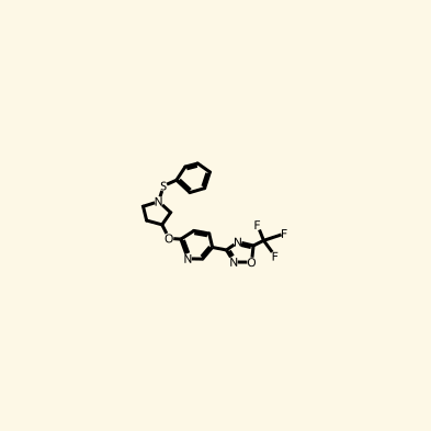 FC(F)(F)c1nc(-c2ccc(OC3CCN(Sc4ccccc4)C3)nc2)no1